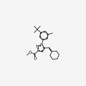 COC(=O)c1cc(C=C2CCCCC2)n(-c2cc(C)cc(C(C)(C)C)c2)n1